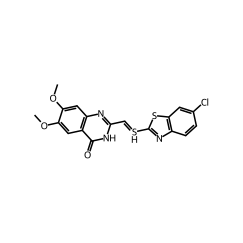 COc1cc2nc(C=[SH]c3nc4ccc(Cl)cc4s3)[nH]c(=O)c2cc1OC